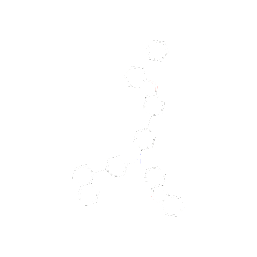 c1ccc(-c2cccc3c2oc2ccc(-c4ccc(N(c5ccc(-c6cccc7ccccc67)cc5)c5ccc6c(c5)oc5ccccc56)cc4)cc23)cc1